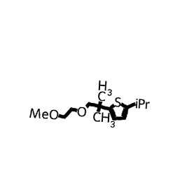 COCCOCC(C)(C)c1ccc(C(C)C)s1